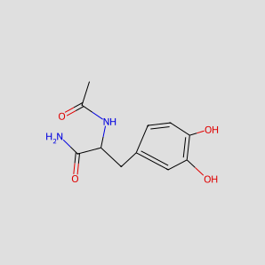 CC(=O)NC(Cc1ccc(O)c(O)c1)C(N)=O